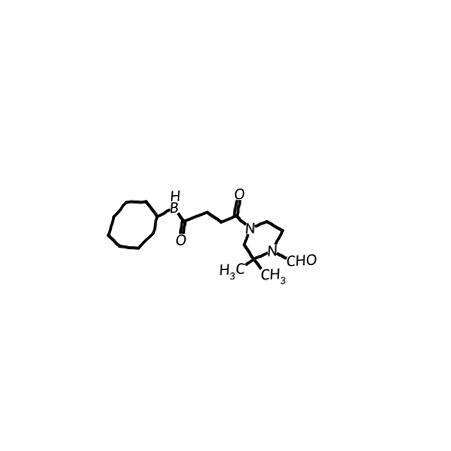 CC1(C)CN(C(=O)CCC(=O)BC2CCCCCCC2)CCN1C=O